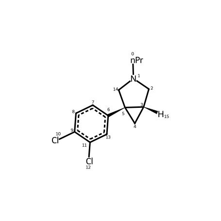 CCCN1C[C@@H]2C[C@]2(c2ccc(Cl)c(Cl)c2)C1